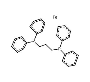 [Fe].c1ccc(P(CCCP(c2ccccc2)c2ccccc2)c2ccccc2)cc1